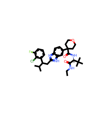 CCNC(=O)[C@H](NC(=O)C1(c2ccc3nc(CC(c4cccc(F)c4Cl)C(C)C)[nH]c3c2)CCOCC1)C(C)(C)C